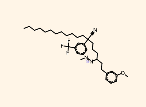 CCCCCCCCCCCCC(C#N)(CCCC(CCc1cccc(OC)c1)/N=N/C)c1cccc(C(F)(F)F)c1